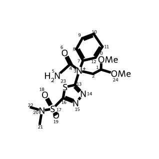 COC(C[N+](C(N)=O)(c1ccccc1)c1nnc(S(=O)(=O)N(C)C)s1)OC